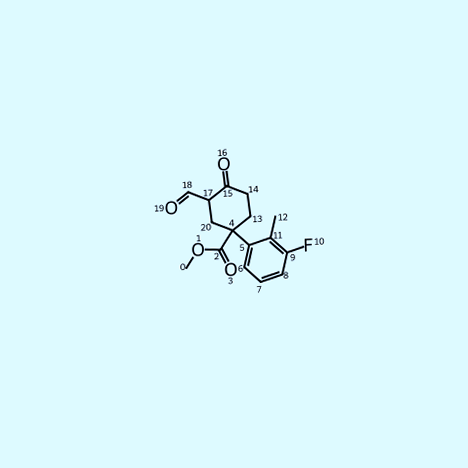 COC(=O)C1(c2cccc(F)c2C)CCC(=O)C(C=O)C1